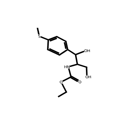 CCOC(=O)NC(CO)C(O)c1ccc(SC)cc1